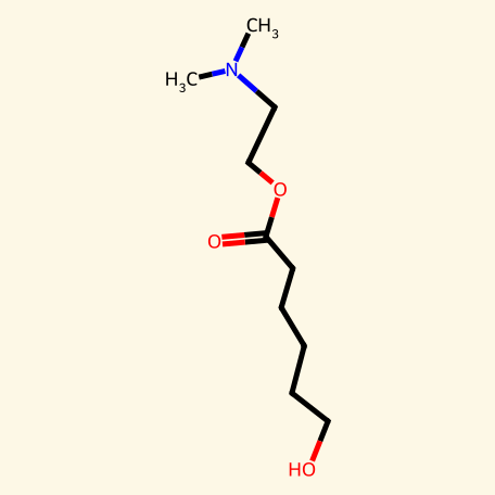 CN(C)CCOC(=O)CCCCCO